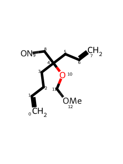 C=CCCC(CC=C)(CN=O)OCOC